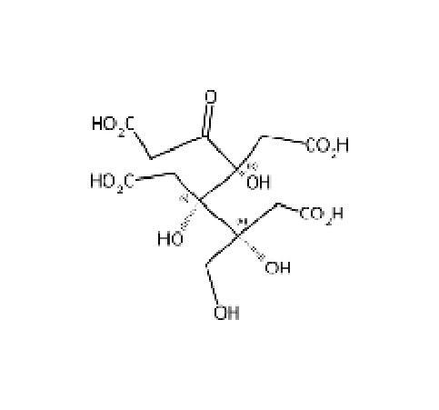 O=C(O)CC(=O)[C@@](O)(CC(=O)O)[C@](O)(CC(=O)O)[C@](O)(CO)CC(=O)O